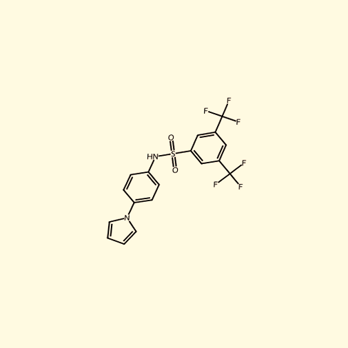 O=S(=O)(Nc1ccc(-n2cccc2)cc1)c1cc(C(F)(F)F)cc(C(F)(F)F)c1